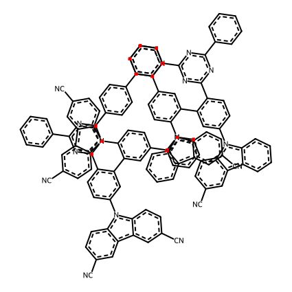 N#Cc1ccc2c(c1)c1ccccc1n2-c1ccc(-c2nc(-c3ccccc3)nc(-c3ccccc3)n2)c(-c2cc(-c3ncccc3-c3ccc(-c4nc(-c5ccccc5)nc(-c5ccc(-n6c7ccc(C#N)cc7c7cc(C#N)ccc76)cc5-c5cc(-c6ccccn6)ccc5-n5c6ccc(C#N)cc6c6cc(C#N)ccc65)n4)cc3)ccc2-n2c3ccccc3c3cc(C#N)ccc32)c1